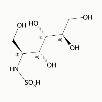 O=S(=O)(O)N[C@@H](CO)[C@@H](O)[C@H](O)[C@H](O)CO